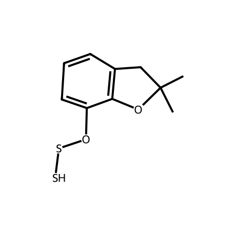 CC1(C)Cc2cccc(OSS)c2O1